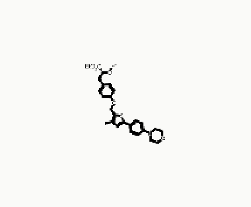 CCOC(=O)[C@H](Cc1ccc(OCc2sc(-c3ccc(N4CCOCC4)cc3)cc2C)cc1)OCC